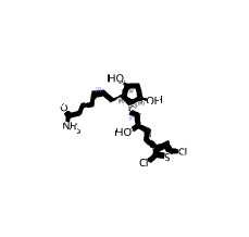 NC(=O)CCC/C=C\C[C@@H]1[C@@H](/C=C/C(O)CCc2cc(Cl)sc2Cl)[C@H](O)C[C@@H]1O